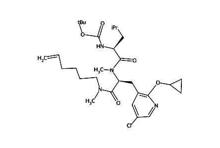 C=CCCCCN(C)C(=O)[C@H](Cc1cc(Cl)cnc1OC1CC1)N(C)C(=O)[C@H](CC(C)C)NC(=O)OC(C)(C)C